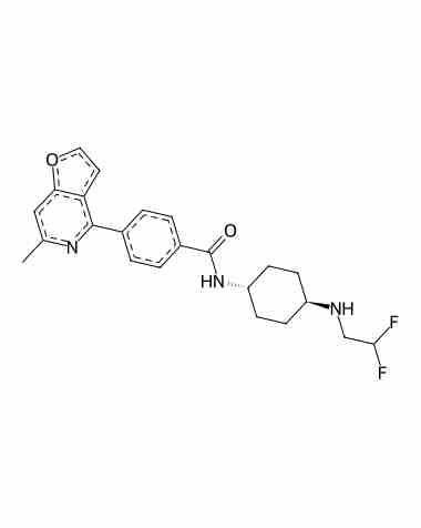 Cc1cc2occc2c(-c2ccc(C(=O)N[C@H]3CC[C@H](NCC(F)F)CC3)cc2)n1